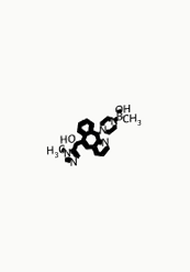 CB(O)N1CCN([C@H]2c3ccccc3C(C(O)c3cncn3C)=Cc3cccnc32)CC1